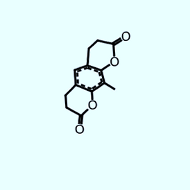 Cc1c2c(cc3c1OC(=O)CC3)CCC(=O)O2